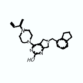 C=CC(=C)N1CCN(c2nc(O)nc3c2CN(Cc2cccc4c2CCC4)C3)CC1